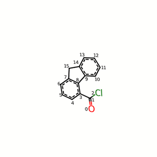 O=C(Cl)c1cccc2c1-c1ccccc1C2